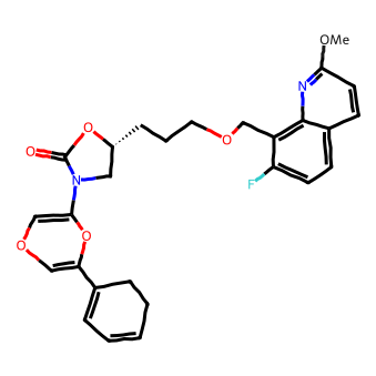 COc1ccc2ccc(F)c(COCCC[C@@H]3CN(C4=COC=C(C5=CC=CCC5)O4)C(=O)O3)c2n1